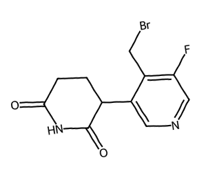 O=C1CCC(c2cncc(F)c2CBr)C(=O)N1